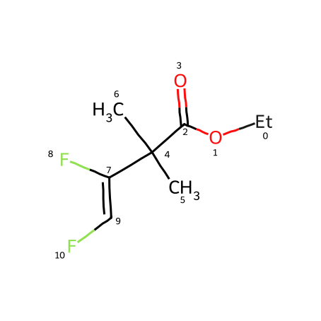 CCOC(=O)C(C)(C)C(F)=CF